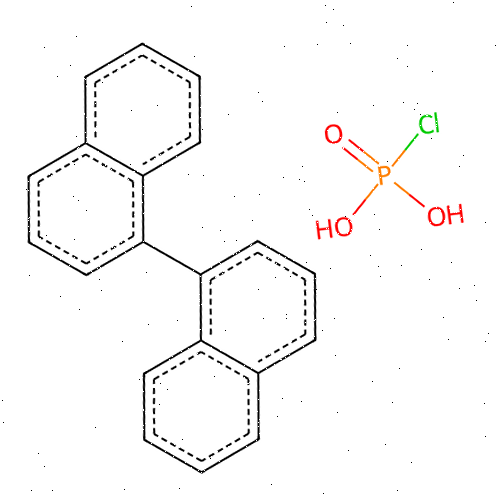 O=P(O)(O)Cl.c1ccc2c(-c3cccc4ccccc34)cccc2c1